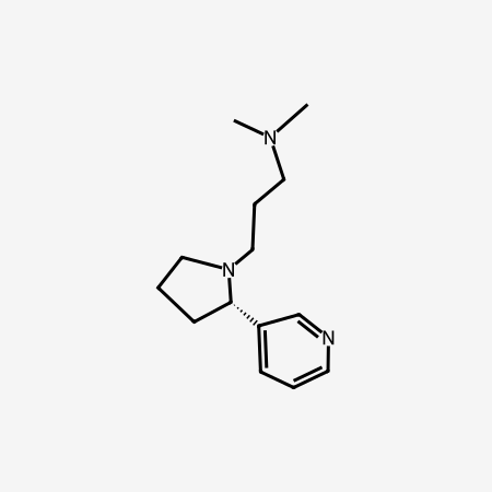 CN(C)CCCN1CCC[C@H]1c1cccnc1